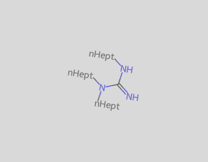 CCCCCCCNC(=N)N(CCCCCCC)CCCCCCC